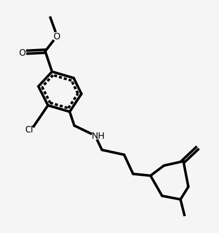 C=C1CC(C)CC(CCCNCc2ccc(C(=O)OC)cc2Cl)C1